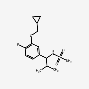 CC(C)C(NS(N)(=O)=O)c1ccc(F)c(OCC2CC2)c1